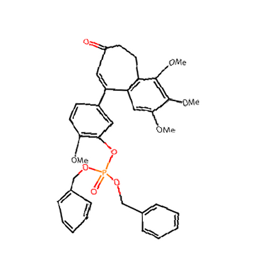 COc1ccc(C2=CC(=O)CCc3c2cc(OC)c(OC)c3OC)cc1OP(=O)(OCc1ccccc1)OCc1ccccc1